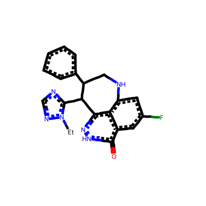 CCn1ncnc1C1c2n[nH]c(=O)c3cc(F)cc(c23)NCC1c1ccccc1